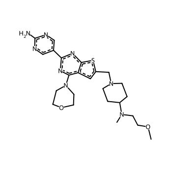 COCCN(C)C1CCN(Cc2cc3c(N4CCOCC4)nc(-c4cnc(N)nc4)nc3s2)CC1